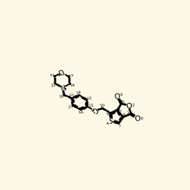 O=C1OC(=O)c2c1csc2COc1ccc(CN2CCOCC2)cc1